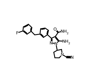 N#CN1CCCC(n2nc(-c3cccc(Cc4cccc(F)c4)c3)c(C(N)=O)c2N)C1